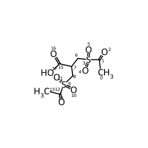 CC(=O)S(=O)(=O)CC(CS(=O)(=O)C(C)=O)C(=O)O